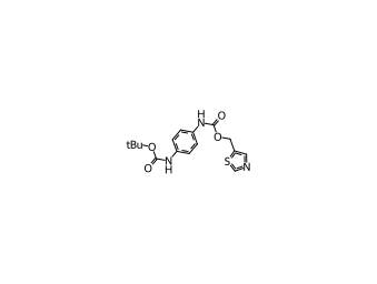 CC(C)(C)OC(=O)Nc1ccc(NC(=O)OCc2cncs2)cc1